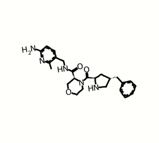 Cc1nc(N)ccc1CNC(=O)[C@@H]1COCCN1C(=O)[C@H]1C[C@H](Cc2ccccc2)CN1